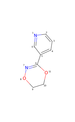 [c]1ncccc1C1=NOCCO1